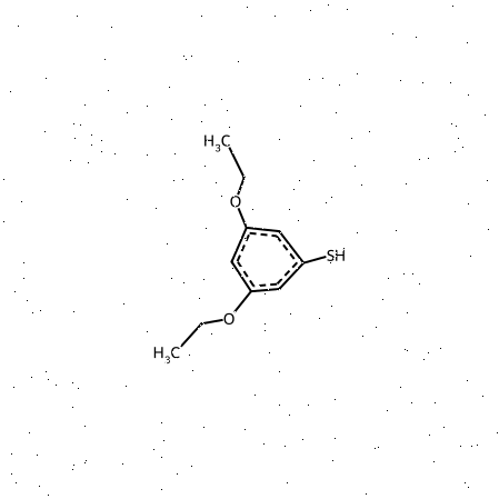 CCOc1cc(S)cc(OCC)c1